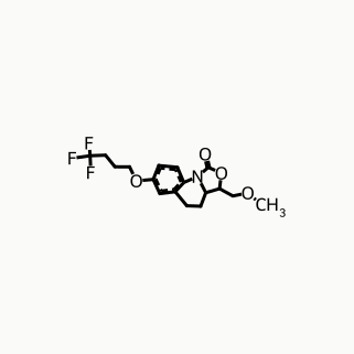 COCC1OC(=O)N2c3ccc(OCCCC(F)(F)F)cc3CCC12